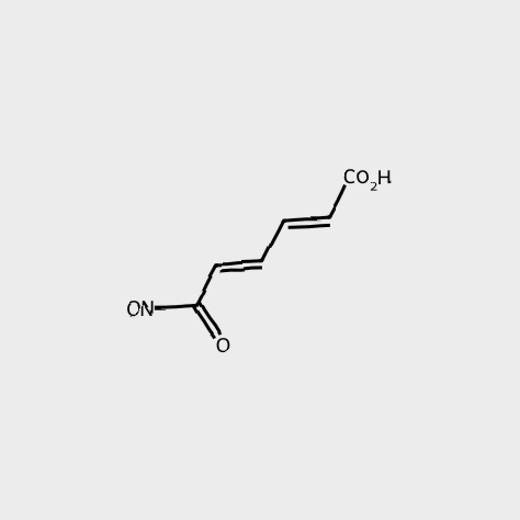 O=NC(=O)/C=C/C=C/C(=O)O